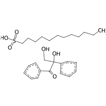 CCCCCCCCCCCCS(=O)(=O)O.O=C(c1ccccc1)C(O)(CO)c1ccccc1